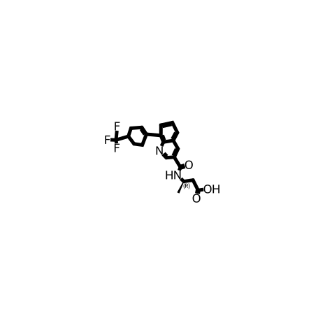 C[C@H](CC(=O)O)NC(=O)c1cnc2c(C3=CCC(C(F)(F)F)CC3)cccc2c1